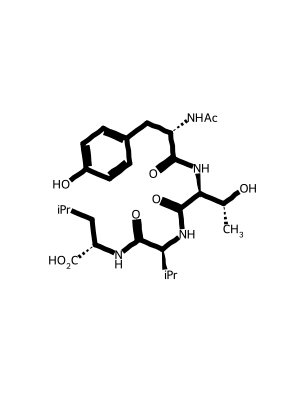 CC(=O)N[C@@H](Cc1ccc(O)cc1)C(=O)N[C@H](C(=O)N[C@H](C(=O)N[C@@H](CC(C)C)C(=O)O)C(C)C)[C@@H](C)O